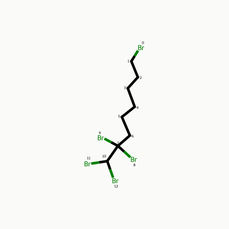 BrCCCCCCC(Br)(Br)C(Br)Br